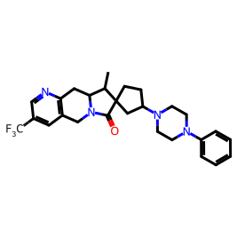 CC1C2Cc3ncc(C(F)(F)F)cc3CN2C(=O)C12CCC(N1CCN(c3ccccc3)CC1)C2